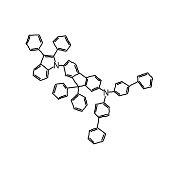 c1ccc(-c2ccc(N(c3ccc(-c4ccccc4)cc3)c3ccc4c(c3)C(c3ccccc3)(c3ccccc3)c3cc(-n5c(-c6ccccc6)c(-c6ccccc6)c6ccccc65)ccc3-4)cc2)cc1